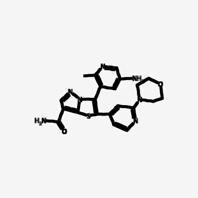 Cc1ncc(N)cc1-c1c(-c2ccnc(N3CCOCC3)c2)sc2c(C(N)=O)cnn12